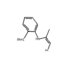 CSc1ccccc1N/C(C)=C\C(C)=O